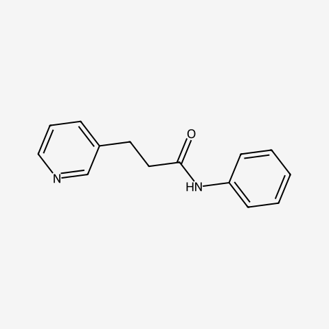 O=C(CCc1cccnc1)Nc1ccccc1